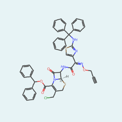 C#CCO/N=C(\C(=O)NC1C(=O)N2C(C(=O)OC(c3ccccc3)c3ccccc3)=C(CCl)CS[C@H]12)c1csc(NC(c2ccccc2)(c2ccccc2)c2ccccc2)n1